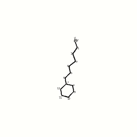 BrCCCCCCC1CCCCC1